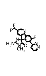 CN1C(=O)C(c2cncc(C(F)F)c2)(c2cc(-c3cccnn3)c(F)cc2F)N=C1N